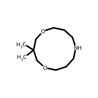 CC1(C)COCCCNCCCOC1